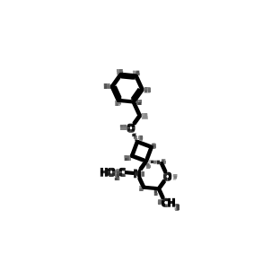 CC1CN(C(=O)O)[C@]2(CO1)C[C@@H](OCc1ccccc1)C2